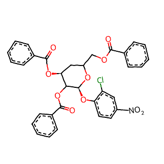 O=C(OCC1C[C@H](OC(=O)c2ccccc2)C(OC(=O)c2ccccc2)[C@H](Oc2ccc([N+](=O)[O-])cc2Cl)O1)c1ccccc1